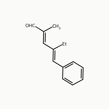 CCC(/C=C(\C)C=O)=C\c1ccccc1